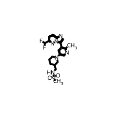 Cc1ncc(N2CCCC(CNS(C)(=O)=O)C2)cc1-c1cnc2ccc(C(F)F)nn12